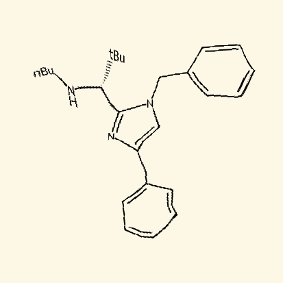 CCCCN[C@@H](c1nc(-c2ccccc2)cn1Cc1ccccc1)C(C)(C)C